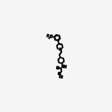 CCOCC(=O)NC1CCC(CCN2CC=C(c3cccc(C(F)(F)F)c3)CC2)CC1